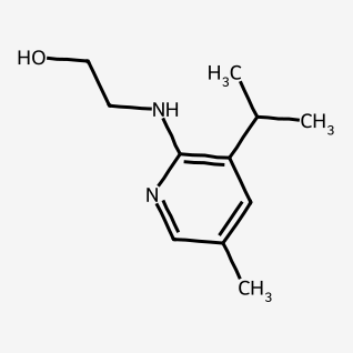 Cc1cnc(NCCO)c(C(C)C)c1